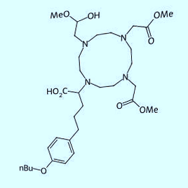 CCCCOc1ccc(CCCC(C(=O)O)N2CCN(CC(=O)OC)CCN(CC(=O)OC)CCN(CC(O)OC)CC2)cc1